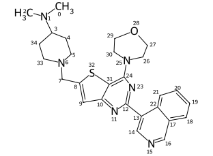 CN(C)C1CCN(Cc2cc3nc(-c4cncc5ccccc45)nc(N4CCOCC4)c3s2)CC1